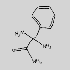 NC(=O)C(N)(N)c1ccccc1